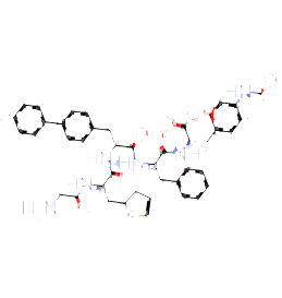 NCC(=O)N[C@H](CC1CC=CS1)C(=O)N[C@@H](Cc1ccc(-c2ccccc2)cc1)C(=O)N[C@H](Cc1ccccc1)C(=O)N[C@@H](Cc1ccc(NC=O)cc1)C(=O)O